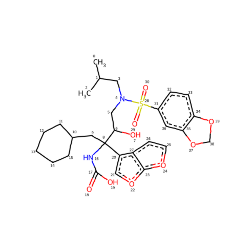 CC(C)CN(CC(O)C(CC1CCCCC1)(NC(=O)O)c1coc2occc12)S(=O)(=O)c1ccc2c(c1)OCO2